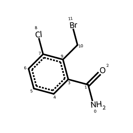 NC(=O)c1cccc(Cl)c1CBr